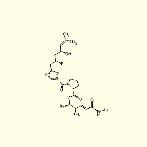 CCNC(=O)/C=C/[C@@H](C)[C@H](OC(=O)[C@H]1CCCN1C(=O)c1coc(C[C@H](F)C[C@H](O)C=C(C)C)n1)C(C)C